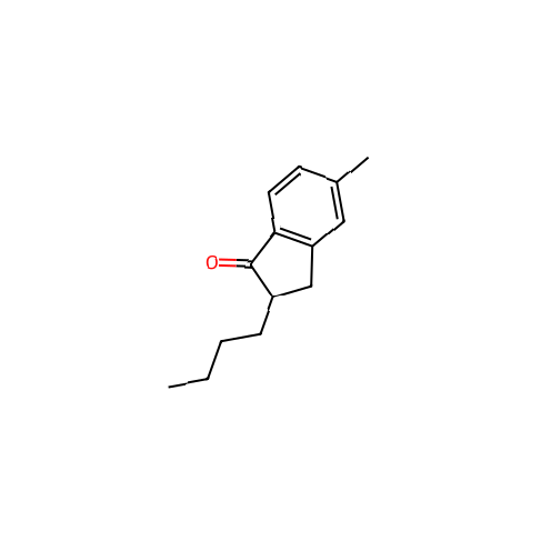 CCCCC1Cc2cc(C)ccc2C1=O